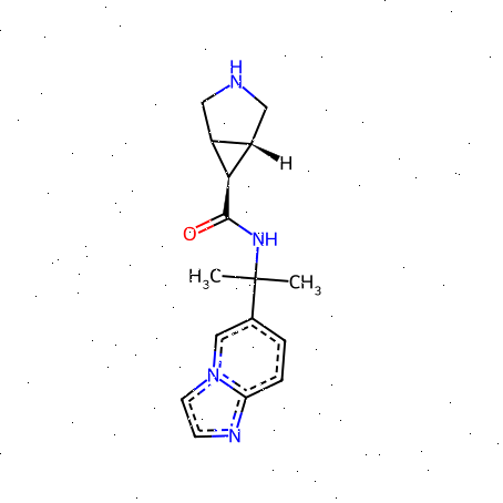 CC(C)(NC(=O)[C@H]1C2CNC[C@@H]21)c1ccc2nccn2c1